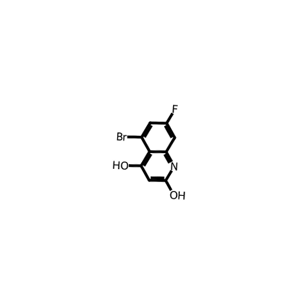 Oc1cc(O)c2c(Br)cc(F)cc2n1